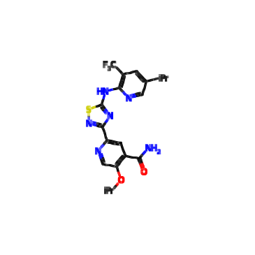 CC(C)Oc1cnc(-c2nsc(Nc3ncc(C(C)C)cc3C(F)(F)F)n2)cc1C(N)=O